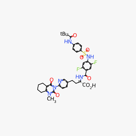 Cn1c2c(c(=O)n(-c3ccc(CC[C@H](NC(=O)c4cc(F)c(NS(=O)(=O)c5ccc(NC(=O)C(C)(C)C)cc5)cc4F)C(=O)O)cn3)c1=O)CCCC2